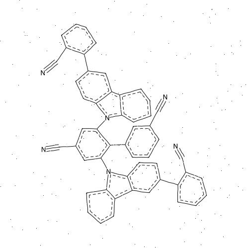 N#Cc1cccc(-c2c(-n3c4ccccc4c4cc(-c5ccccc5C#N)ccc43)cc(C#N)cc2-n2c3ccccc3c3cc(-c4ccccc4C#N)ccc32)c1